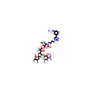 CC[C@@H](OC(=O)[C@@](C)(F)C(=O)C(C)[C@H](C[C@](C)(C[C@@H](C)C(C)=O)OC)O[C@H]1O[C@H](C)C[C@H](N(C)C)C1O)[C@@]1(C)OC(=O)N(CCCCn2cc(-c3cccc(N)c3)nn2)C1C